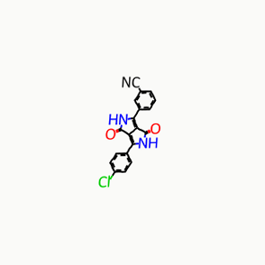 N#Cc1cccc(C2=C3C(=O)NC(c4ccc(Cl)cc4)=C3C(=O)N2)c1